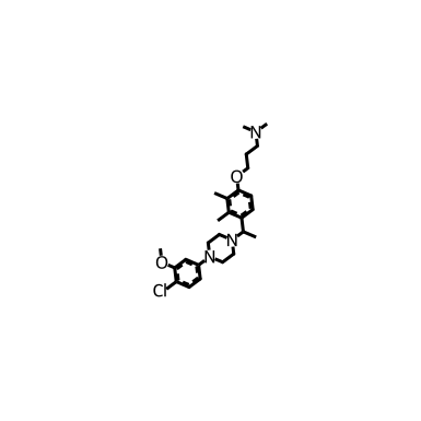 COc1cc(N2CCN(C(C)c3ccc(OCCCN(C)C)c(C)c3C)CC2)ccc1Cl